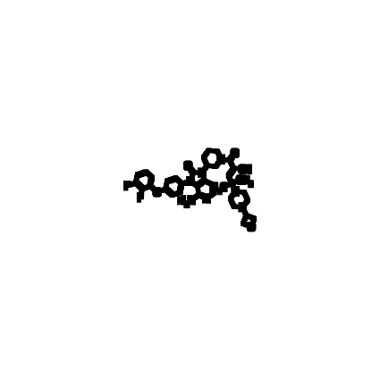 CC(C)(C=C(C#N)C(=O)N1CCCC(n2c(=O)n(-c3ccc(Oc4cccc(F)c4F)cc3)c3c(N)nccc32)C1)N1CCN(C2COC2)CC1